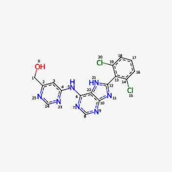 OCc1cc(Nc2ncnc3nc(-c4c(Cl)cccc4Cl)[nH]c23)ncn1